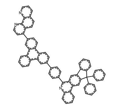 c1ccc(C2(c3ccccc3)c3ccccc3-c3cc4c(-c5ccc(-c6ccc7c8ccc(-c9ccnc%10c9ccc9cccnc9%10)cc8c8ccccc8c7c6)cc5)nc5ccccc5c4cc32)cc1